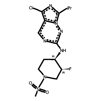 CC(C)c1nc(Cl)c2cnc(N[C@@H]3CCN(S(C)(=O)=O)C[C@H]3F)nn12